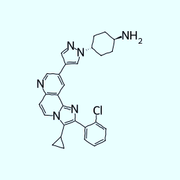 N[C@H]1CC[C@H](n2cc(-c3cnc4ccn5c(C6CC6)c(-c6ccccc6Cl)nc5c4c3)cn2)CC1